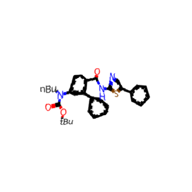 CCCCN(C(=O)OC(C)(C)C)c1ccc(C(=O)Nc2ncc(-c3ccccc3)s2)c(-c2ccccc2)c1